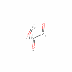 O=[SiH][V]=[O].[O]=[Fe]